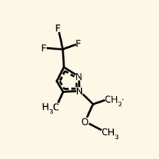 [CH2]C(OC)n1nc(C(F)(F)F)cc1C